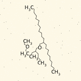 CCCCCCCCCCCCC(CCCCCCCCCC)COCC(CC)CCCC.CCOCC